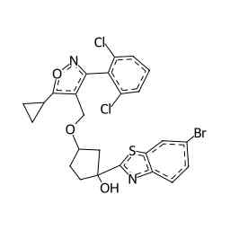 OC1(c2nc3ccc(Br)cc3s2)CCC(OCc2c(-c3c(Cl)cccc3Cl)noc2C2CC2)C1